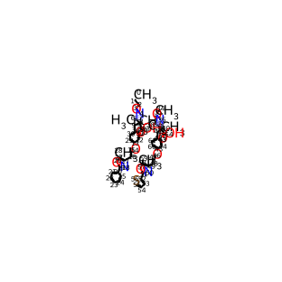 CCCO/N=C(\C)C(C)(Cc1ccc(OCCc2nc(-c3ccccc3)oc2C)cc1)C(=O)O.CO/N=C(\C)C(C)(Cc1ccc(OCCc2nc(-c3cccs3)oc2C)cc1)C(=O)O